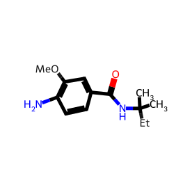 CCC(C)(C)NC(=O)c1ccc(N)c(OC)c1